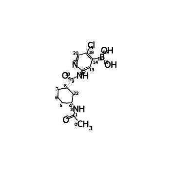 CC(=O)N[C@@H]1CCC[C@H](C(=O)Nc2cc(B(O)O)c(Cl)cn2)C1